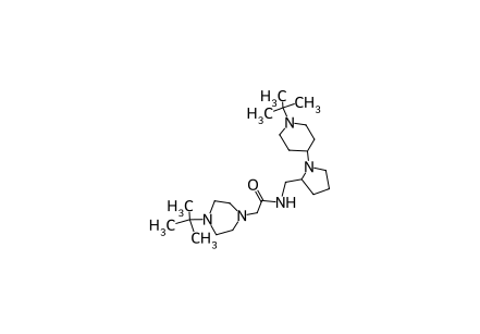 CC(C)(C)N1CCC(N2CCCC2CNC(=O)CN2CCN(C(C)(C)C)CC2)CC1